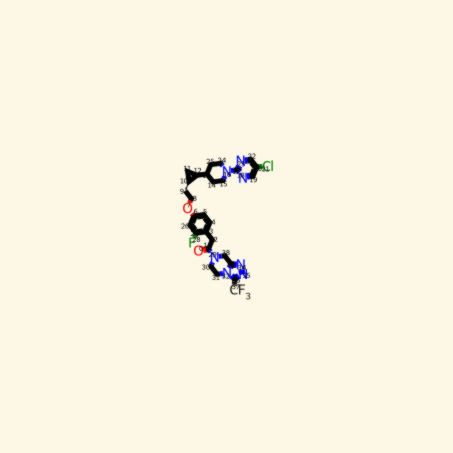 O=C(Cc1ccc(OCC[C@@H]2CC2C2CCN(c3ncc(Cl)cn3)CC2)cc1F)N1CCn2c(nnc2C(F)(F)F)C1